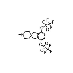 CN1CCC2(CC1)Cc1c(OS(=O)(=O)C(F)(F)F)ccc(OS(=O)(=O)C(F)(F)F)c1C2